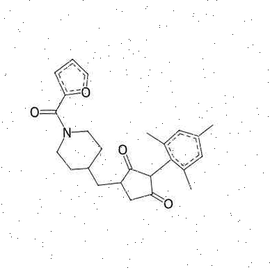 Cc1cc(C)c(C2C(=O)CC(CC3CCN(C(=O)c4ccco4)CC3)C2=O)c(C)c1